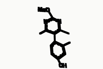 COc1nc(C)c(-c2ccc(O)cc2C)c(C)n1